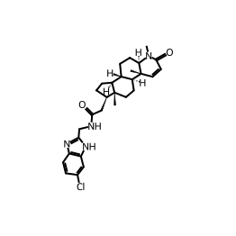 CN1C(=O)C=C[C@]2(C)[C@H]3CC[C@]4(C)[C@@H](CC(=O)NCc5nc6ccc(Cl)cc6[nH]5)CC[C@H]4[C@@H]3CC[C@@H]12